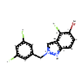 Fc1cc(F)cc(Cn2cc3c(F)c(Br)ccc3n2)c1